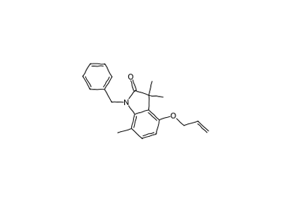 C=CCOc1ccc(C)c2c1C(C)(C)C(=O)N2Cc1ccccc1